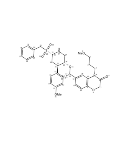 COCCCN1C(=O)COc2ccc(C(C)O[C@H]3CN[C@@H](S(=O)(=O)Cc4ccccc4)C[C@@H]3c3ccc(OC)cc3)cc21